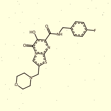 O=C(NCc1ccc(F)cc1)c1nc2sc(CN3CCOCC3)cn2c(=O)c1O